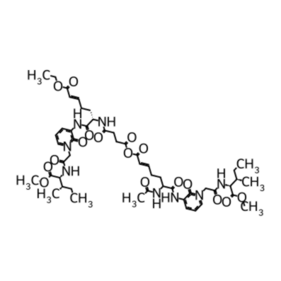 CCOC(=O)/C=C/CC[C@H](NC(=O)CCC(=O)OC(=O)C=CCCC(NC(C)=O)C(=O)Nc1cccn(CC(=O)N[C@H](C(=O)OC)[C@H](C)CC)c1=O)C(=O)Nc1cccn(CC(=O)N[C@H](C(=O)OC)[C@H](C)CC)c1=O